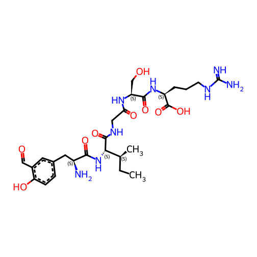 CC[C@H](C)[C@H](NC(=O)[C@@H](N)Cc1ccc(O)c(C=O)c1)C(=O)NCC(=O)N[C@@H](CO)C(=O)N[C@@H](CCCNC(=N)N)C(=O)O